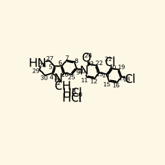 Cl.Cl.Cn1c2c(c3ccc(-n4ccc(-c5ccc(Cl)cc5Cl)cc4=O)cc31)CNCC2